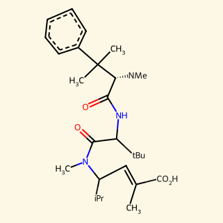 CN[C@H](C(=O)NC(C(=O)N(C)C(/C=C(\C)C(=O)O)C(C)C)C(C)(C)C)C(C)(C)c1ccccc1